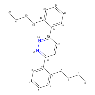 CCCCc1ccccc1-c1ccc(-c2ccccc2CCCC)nn1